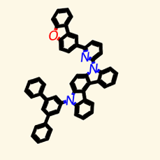 c1ccc(-c2cc(-c3ccccc3)cc(-n3c4ccccc4c4c5c6ccccc6n(-c6cccc(-c7ccc8oc9ccccc9c8c7)n6)c5ccc43)c2)cc1